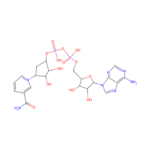 NC(=O)c1ccc[n+](C2CC(OP(=O)(O)OP(=O)(O)OCC3OC(n4cnc5c(N)ncnc54)C(O)C3O)C(O)C2O)c1